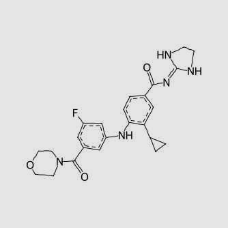 O=C(N=C1NCCN1)c1ccc(Nc2cc(F)cc(C(=O)N3CCOCC3)c2)c(C2CC2)c1